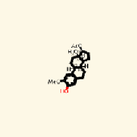 COc1cc2c(cc1O)CC[C@@H]1[C@@H]2CC[C@]2(C)[C@@H](OC(C)=O)CC[C@@H]12